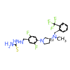 CN(Cc1ccccc1C(F)(F)F)[C@H]1CCN(c2cc(F)c(C=NNC(N)=S)cc2F)C1